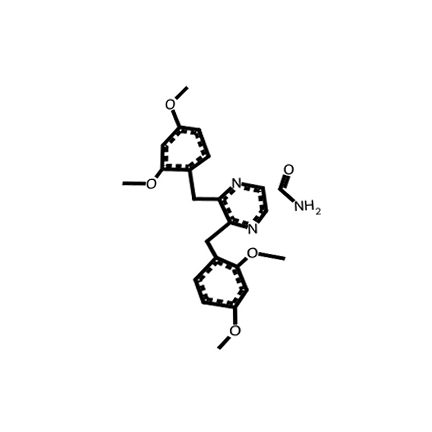 COc1ccc(Cc2nccnc2Cc2ccc(OC)cc2OC)c(OC)c1.NC=O